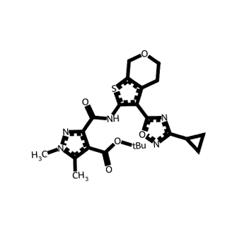 Cc1c(C(=O)OC(C)(C)C)c(C(=O)Nc2sc3c(c2-c2nc(C4CC4)no2)CCOC3)nn1C